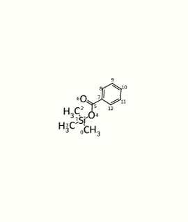 C[Si](C)(C)OC(=O)c1ccccc1